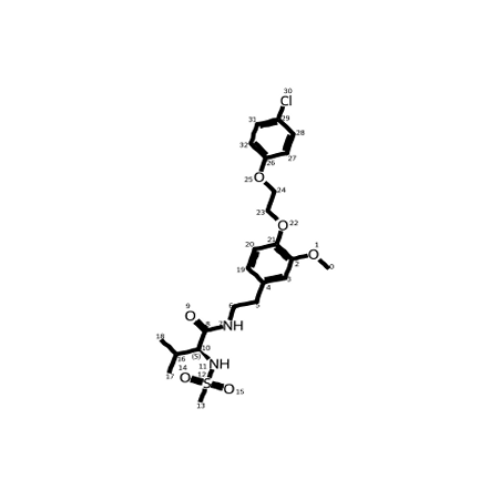 COc1cc(CCNC(=O)[C@@H](NS(C)(=O)=O)C(C)C)ccc1OCCOc1ccc(Cl)cc1